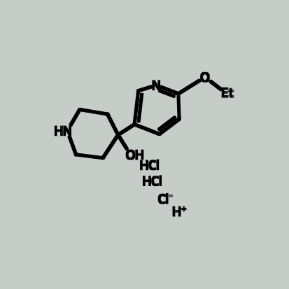 CCOc1ccc(C2(O)CCNCC2)cn1.Cl.Cl.[Cl-].[H+]